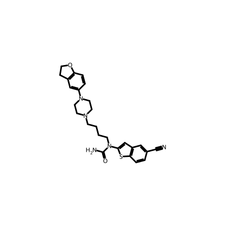 N#Cc1ccc2sc(N(CCCCN3CCN(c4ccc5c(c4)CCO5)CC3)C(N)=O)cc2c1